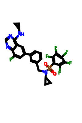 O=S(=O)(c1c(F)c(F)c(F)c(F)c1F)N(Cc1cccc(-c2cc(F)c3ncnc(NC4CC4)c3c2)c1)C1CC1